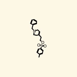 Cc1ccc(S(=O)(=O)OCCC2=CCN(Cc3ccccc3)CC2)cc1